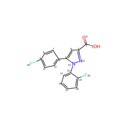 O=C(O)c1cc(-c2ccc(F)cc2)n(-c2ccccc2F)n1